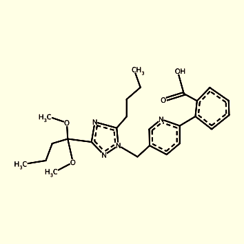 CCCCc1nc(C(CCC)(OC)OC)nn1Cc1ccc(-c2ccccc2C(=O)O)nc1